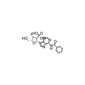 O=C(Nc1ncnc2c1ncn2[C@@H]1O[C@H](CO)[C@@H](F)[C@H]1P(=O)(O)O)c1ccccc1